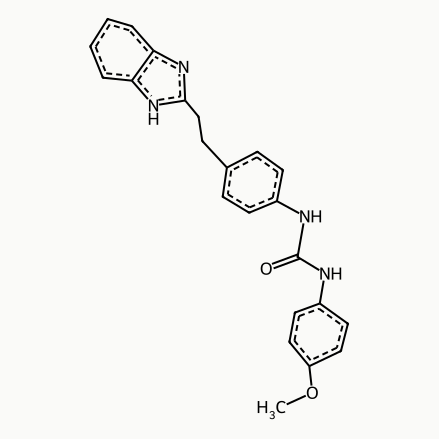 COc1ccc(NC(=O)Nc2ccc(CCc3nc4ccccc4[nH]3)cc2)cc1